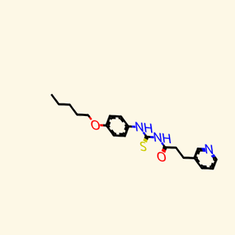 CCCCCOc1ccc(NC(=S)NC(=O)CCc2cccnc2)cc1